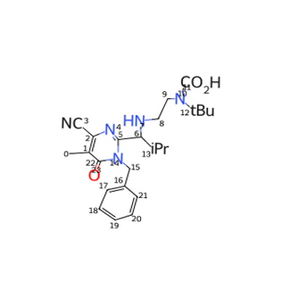 Cc1c(C#N)nc(C(NCCN(C(=O)O)C(C)(C)C)C(C)C)n(Cc2ccccc2)c1=O